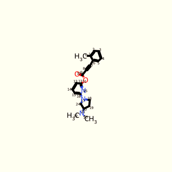 Cc1ccccc1C#CC(=O)Oc1cccc(N2CCC(N(C)C)C2)n1